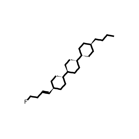 CCCC[C@H]1CC[C@H]([C@H]2CC[C@H]([C@H]3CC[C@H](C=CCCF)CC3)CC2)CC1